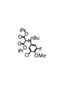 CCCCN(c1cc(F)c(OC)c(Cl)c1)C(C(=O)OC(C)C)C(=O)OC(C)C